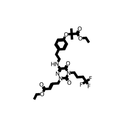 CCOC(=O)C=CCn1nc(NCCc2ccc(OC(C)(C)C(=O)OCC)cc2)c(=O)n(CCCC(F)(F)F)c1=O